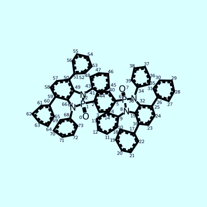 O=P1(c2ccc(P3(=O)N(c4ccccc4)c4c(-c5ccccc5)ccc(-c5ccccc5)c4N3c3ccccc3)cc2)N(c2ccccc2)c2c(-c3ccccc3)ccc(-c3ccccc3)c2N1c1ccccc1